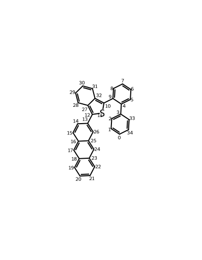 c1ccc(-c2ccccc2-c2sc(-c3ccc4cc5ccccc5cc4c3)c3ccccc23)cc1